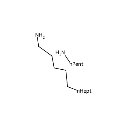 CCCCCCCCCCCCN.CCCCCN